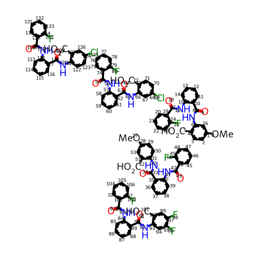 COc1ccc(C(=O)O)c(NC(=O)c2ccccc2NC(=O)c2ccccc2F)c1.COc1ccc(NC(=O)c2ccccc2NC(=O)c2ccccc2F)c(C(=O)O)c1.O=C(Nc1ccccc1C(=O)Nc1cc(Cl)ccc1C(=O)O)c1ccccc1F.O=C(Nc1ccccc1C(=O)Nc1cc(F)c(F)cc1C(=O)O)c1ccccc1F.O=C(Nc1ccccc1C(=O)Nc1ccc(Cl)cc1C(=O)O)c1ccccc1F